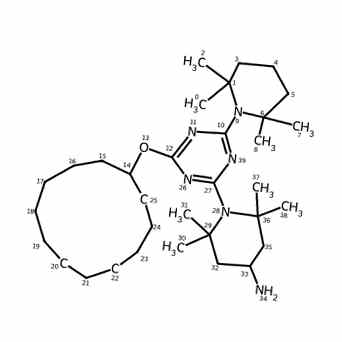 CC1(C)CCCC(C)(C)N1c1nc(OC2CCCCCCCCCCC2)nc(N2C(C)(C)CC(N)CC2(C)C)n1